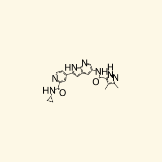 Cc1n[nH]c(C(=O)Nc2cnc3[nH]c(-c4ccnc(C(=O)NC5CC5)c4)cc3c2)c1C